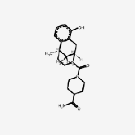 CC1(C)[C@H]2Cc3c(O)cccc3[C@]1(C)CCN2C(=O)N1CCC(C(N)=O)CC1